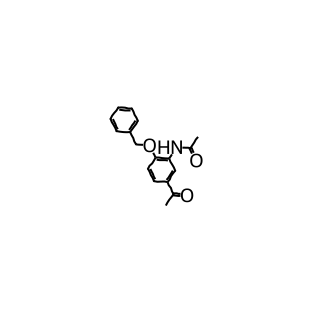 CC(=O)Nc1cc(C(C)=O)ccc1OCc1ccccc1